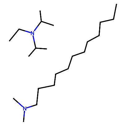 CCCCCCCCCCCCN(C)C.CCN(C(C)C)C(C)C